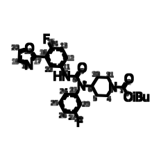 CC(C)COC(=O)N1CCC(N(C(=O)Nc2ccc(F)c(-c3ncco3)c2)c2cccc(F)c2)CC1